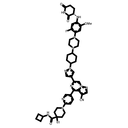 CCC1(C(=O)NC2CCC2)CCN(c2ccc(-c3nc(-c4cnn(C5CCC(N6CCN(c7cc(OC)c(N[C@H]8CCC(=O)NC8=O)cc7F)CC6)CC5)c4)cn4ncc(C#N)c34)cn2)CC1